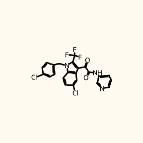 O=C(Nc1cccnc1)C(=O)c1c(C(F)(F)F)n(Cc2ccc(Cl)cc2)c2ccc(Cl)cc12